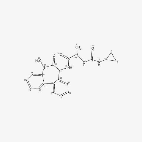 C[C@H](OC(=O)NC1CC1)C(=O)NC1C(=O)N(C)c2ccccc2-c2ccccc21